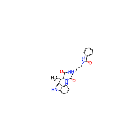 CC(c1c[nH]c2ccccc12)[C@H]1NC(=O)[C@@H](CCCNC(=O)c2ccccc2)NC1=O